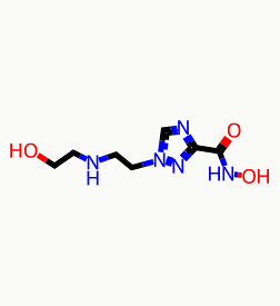 O=C(NO)c1ncn(CCNCCO)n1